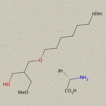 CC(C)[C@H](N)C(=O)O.CCCCCCCCCCCCCCCCOCC(CO)COC